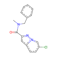 CN(Cc1ccccc1)C(=O)c1cc2ccc(Cl)cn2n1